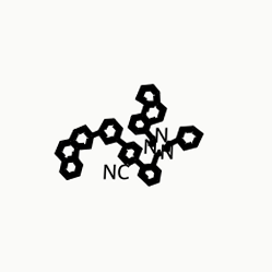 N#Cc1cc(-c2cccc(-c3ccc4ccc5ccccc5c4c3)c2)ccc1-c1ccccc1-c1nc(-c2ccccc2)nc(-c2cccc3c2ccc2ccccc23)n1